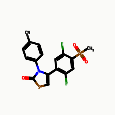 CS(=O)(=O)c1cc(F)c(-c2csc(=O)n2-c2ccc(C#N)cc2)cc1F